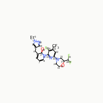 CCn1cc(Cc2cccn(-c3nc(N4CCOC(C(F)F)C4)cc(C(F)(F)F)c3F)c2=O)cn1